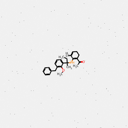 CCC(C)(PC1=C(C(C)=O)CCC=C1C)c1cccc(Cc2ccccc2)c1OC